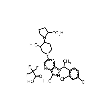 Cc1nn(C(C)c2ccc(Cl)cc2Cl)c2nc(N3CC[C@H](N4CCC[C@H]4C(=O)O)[C@H](C)C3)cnc12.O=C(O)C(F)(F)F